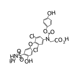 CC(C)NS(=O)(=O)c1cc(Oc2c(Cl)cc(N(CC(=O)O)C(=O)Oc3ccc(O)cc3)cc2Cl)ccc1O